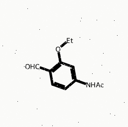 CCOc1cc(NC(C)=O)ccc1[C]=O